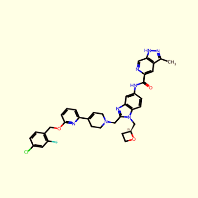 Cc1n[nH]c2cnc(C(=O)Nc3ccc4c(c3)nc(CN3CC=C(c5cccc(OCc6ccc(Cl)cc6F)n5)CC3)n4C[C@@H]3CCO3)cc12